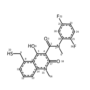 CN(C(=O)c1c(O)c2c(CS)cccc2n(C)c1=O)c1cc(F)ccc1F